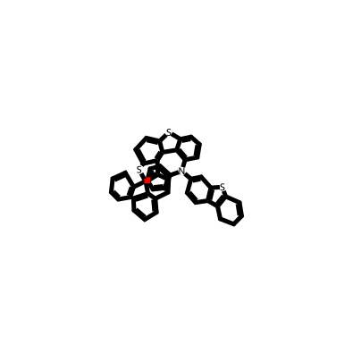 C1=Cc2sc3cc(N(c4ccc(-c5ccccc5)cc4)c4cccc5sc6ccc7sc8c9ccccc9ccc8c7c6c45)ccc3c2CC1